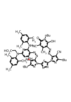 CCCCn1c(O)c(N=Nc2c(C#N)c(C(C)(C)C)nn2-c2nnc(-n3nc(C(C)(C)C)c(C#N)c3N=Nc3c(C)cc(N(CC(=O)O)c4c(C)cc(C)cc4C)nc3Nc3c(C)cc(C)cc3C)s2)c(C)c(C#N)c1=O